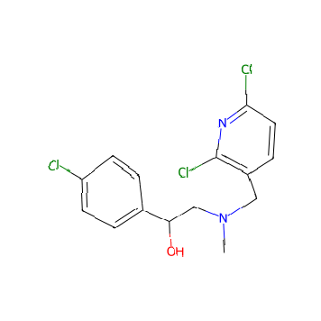 CN(Cc1ccc(Cl)nc1Cl)CC(O)c1ccc(Cl)cc1